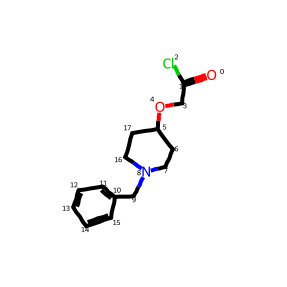 O=C(Cl)COC1CCN(Cc2ccccc2)CC1